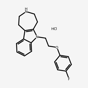 Cl.Fc1ccc(OCCn2c3c(c4ccccc42)CCNCC3)cc1